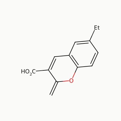 C=C1Oc2ccc(CC)cc2C=C1C(=O)O